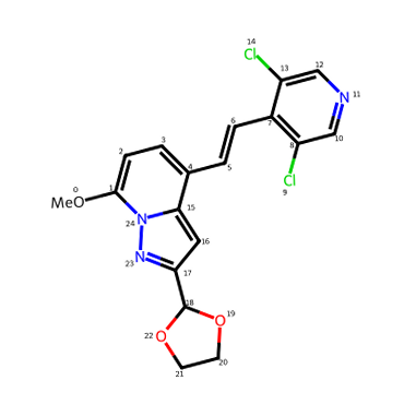 COc1ccc(C=Cc2c(Cl)cncc2Cl)c2cc(C3OCCO3)nn12